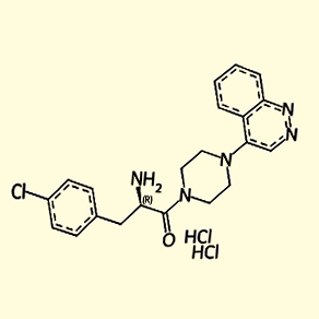 Cl.Cl.N[C@H](Cc1ccc(Cl)cc1)C(=O)N1CCN(c2cnnc3ccccc23)CC1